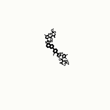 COC(=O)N[C@H](C(=O)N1[C@H](C)[C@H](C)C[C@H]1c1ncc(-c2ccc(-c3ccc4c(ccc5nc([C@@H]6C[C@@H](C)[C@@H](C)N6C(=O)[C@@H](NC(=O)OC)C(C)C)[nH]c54)c3)cc2F)[nH]1)C(C)C